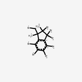 CC1(CBr)c2c(Br)c(Br)c(Br)c(Br)c2C(Br)(Br)C1(C)Br